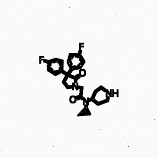 O=C(CN1CCC(c2ccc(F)cc2)(c2ccc(F)cc2)C1=O)N(C1CCNCC1)C1CC1